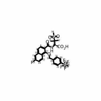 CC(C)([C@H](NC(=O)c1ccc2cc(F)ccc2c1OCc1ccc(S(F)(F)(F)(F)F)cc1)C(=O)O)S(C)(=O)=O